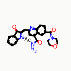 CC(=O)N1/C(=C\c2cc(C(N)=O)c3cc(C(=O)N4CCOCC4)ccc3n2)C(=O)c2ccccc21